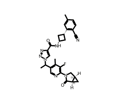 Cc1ccc(C#N)c([C@H]2C[C@@H](NC(=O)c3cn(C(C)c4cnc(N5C[C@H]6C[C@H]6C5=O)c(F)c4C)nn3)C2)c1